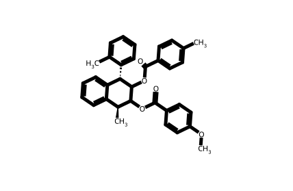 COc1ccc(C(=O)OC2C(OC(=O)c3ccc(C)cc3)[C@@H](c3ccccc3C)c3ccccc3[C@@H]2C)cc1